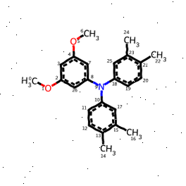 COc1cc(OC)cc(N(c2ccc(C)c(C)c2)c2ccc(C)c(C)c2)c1